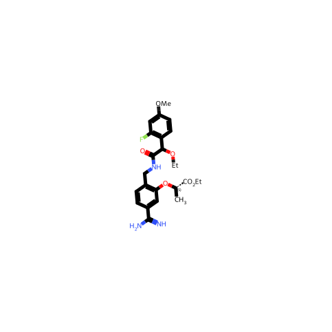 CCOC(=O)[C@H](C)Oc1cc(C(=N)N)ccc1CNC(=O)C(OCC)c1ccc(OC)cc1F